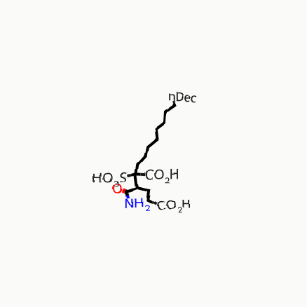 CCCCCCCCCCCCCCCCCCC(C(=O)O)(C(CCC(=O)O)C(N)=O)S(=O)(=O)O